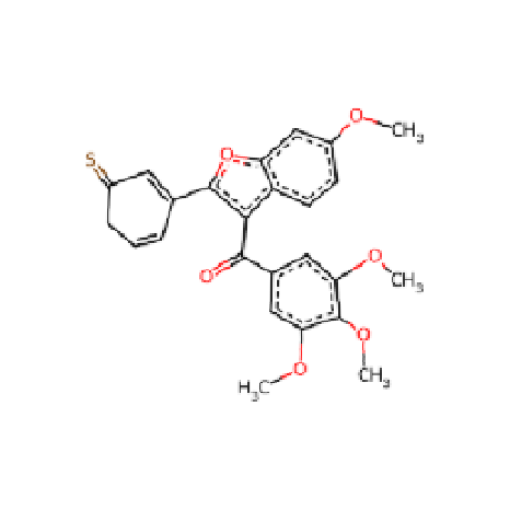 COc1ccc2c(C(=O)c3cc(OC)c(OC)c(OC)c3)c(C3=CC(=S)CC=C3)oc2c1